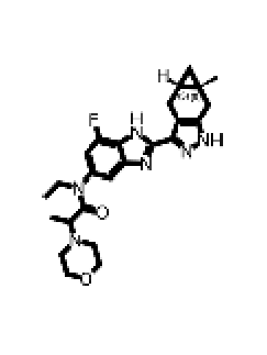 CCN(C(=O)C(C)N1CCOCC1)c1cc(F)c2[nH]c(-c3n[nH]c4c3C[C@@H]3C[C@]3(C)C4)nc2c1